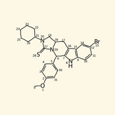 COc1ccc(C2c3[nH]c4ccc(Br)cc4c3CC3CN(C4CCCCC4)C(=S)N32)cc1